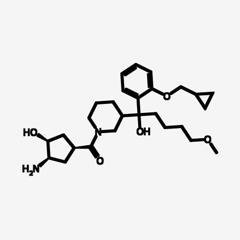 COCCCCC(O)(c1ccccc1OCC1CC1)C1CCCN(C(=O)[C@H]2C[C@@H](N)[C@@H](O)C2)C1